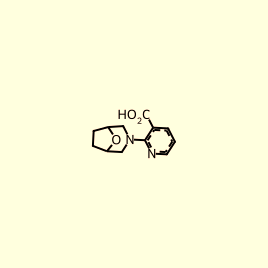 O=C(O)c1cccnc1N1CC2CCC(C1)O2